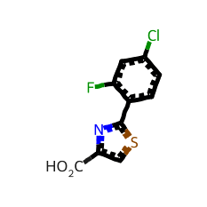 O=C(O)c1csc(-c2ccc(Cl)cc2F)n1